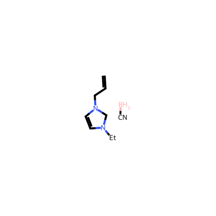 BC#N.C=CCN1C=CN(CC)C1